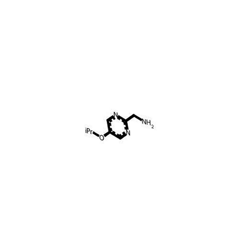 CC(C)Oc1cnc(CN)nc1